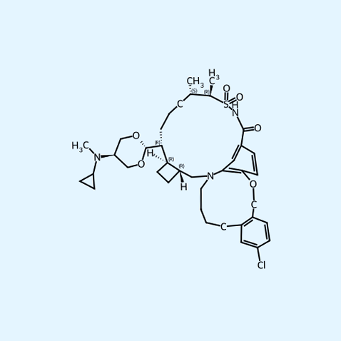 C[C@@H]1[C@@H](C)CCC[C@@H]([C@H]2OC[C@H](N(C)C3CC3)CO2)[C@@H]2CC[C@H]2CN2CCCCc3cc(Cl)ccc3COc3ccc(cc32)C(=O)NS1(=O)=O